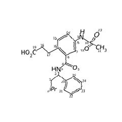 CC(C)CC(NC(=O)c1cc(NS(C)(=O)=O)ccc1CCC(=O)O)c1ccccc1